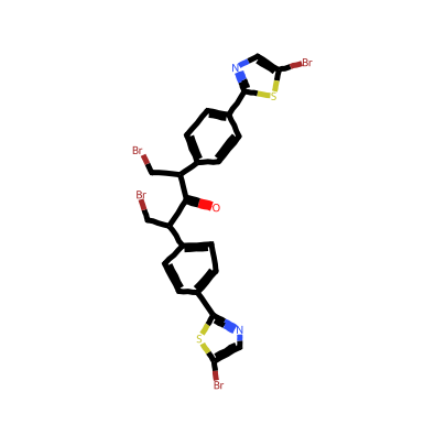 O=C(C(CBr)c1ccc(-c2ncc(Br)s2)cc1)C(CBr)c1ccc(-c2ncc(Br)s2)cc1